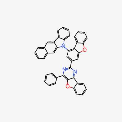 c1ccc(-c2nc(-c3cc(-n4c5ccccc5c5cc6ccccc6cc54)c4c(c3)oc3ccccc34)nc3c2oc2ccccc23)cc1